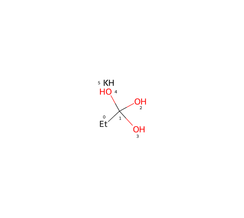 [CH2]CC(O)(O)O.[KH]